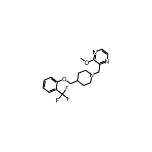 COc1nccnc1CN1CCC(COc2ccccc2C(F)(F)F)CC1